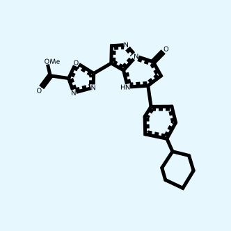 COC(=O)c1nnc(-c2cnn3c(=O)cc(-c4ccc(C5CCCCC5)cc4)[nH]c23)o1